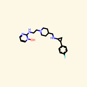 ON1C=CC=NC1NCCN1CCC(CNC2CC2c2ccc(F)cc2)CC1